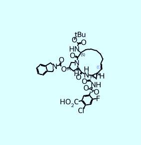 CC(C)(C)OC(=O)N[C@H]1CCCCC/C=C/[C@@H]2C[C@@]2(C(=O)NS(=O)(=O)c2cc(C(=O)O)c(Cl)cc2F)NC(=O)[C@@H]2C[C@@H](OC(=O)N3Cc4ccccc4C3)CN2C1=O